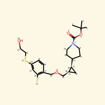 CC(C)(C)OC(=O)N1CCC([C@H]2C[C@H]2COCc2ccc(SCCO)cc2F)CC1